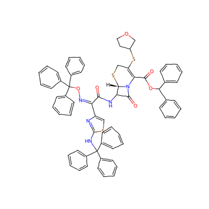 O=C(OC(c1ccccc1)c1ccccc1)C1=C(SC2CCOC2)CS[C@H]2C(NC(=O)/C(=N\OC(c3ccccc3)(c3ccccc3)c3ccccc3)c3csc(NC(c4ccccc4)(c4ccccc4)c4ccccc4)n3)C(=O)N12